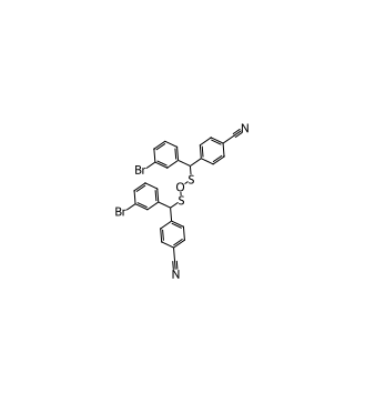 N#Cc1ccc(C(SOSC(c2ccc(C#N)cc2)c2cccc(Br)c2)c2cccc(Br)c2)cc1